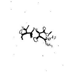 C=C(/N=C(/C(=O)OC)C(Cl)=C(N)N)c1c(C)noc1C